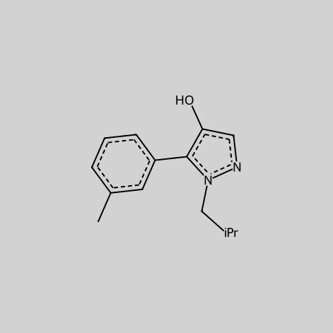 Cc1cccc(-c2c(O)cnn2CC(C)C)c1